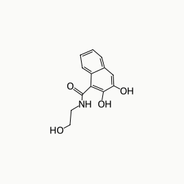 O=C(NCCO)c1c(O)c(O)cc2ccccc12